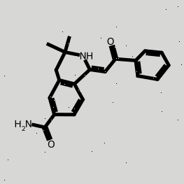 CC1(C)Cc2cc(C(N)=O)ccc2C(=CC(=O)c2ccccc2)N1